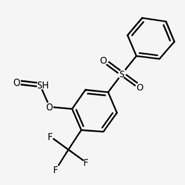 O=[SH]Oc1cc(S(=O)(=O)c2ccccc2)ccc1C(F)(F)F